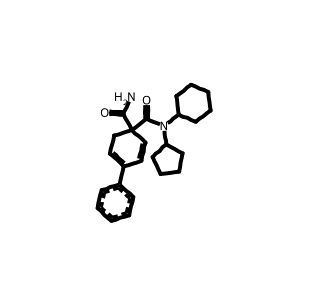 NC(=O)C1(C(=O)N(C2CCCCC2)C2CCCC2)C=CC(c2ccccc2)=CC1